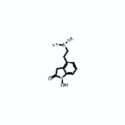 CCCN(CCC)CCc1cccc2c1CC(=O)N2O